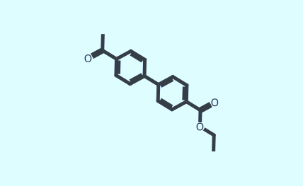 CCOC(=O)c1ccc(-c2ccc(C(C)=O)cc2)cc1